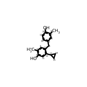 Cc1cc(Cc2cc(C)c(O)cc2C2CC2)ccc1O